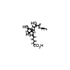 CC#CCC(C)[C@H](O)C=C[C@@H]1[C@H]2CC(=CCCCC(=O)O)C[C@H]2C[C@H]1O